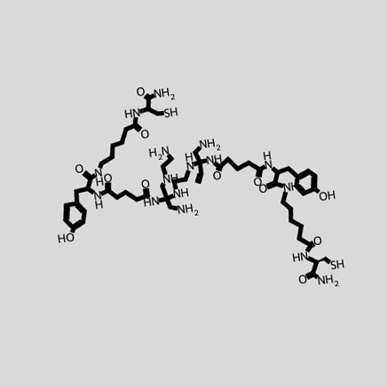 C=CC(CN)(NCCNC(CN)(CNCCN)NC(=O)CCCC(=O)NC(Cc1ccc(O)cc1)C(=O)NCCCCCC(=O)NC(CS)C(N)=O)NC(=O)CCCC(=O)NC(Cc1ccc(O)cc1)C(=O)NCCCCCC(=O)N[C@@H](CS)C(N)=O